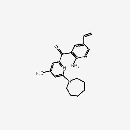 C=Cc1cnc(N)c(C(=O)c2cc(C(F)(F)F)cc(N3CCCCCC3)n2)c1